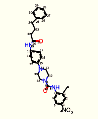 Cc1cc([N+](=O)[O-])ccc1NC(=O)N1CCN(c2ccc(NC(=O)CCCc3ccccc3)cc2)CC1